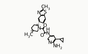 Cc1nc2cc([C@H]3CC[C@H](C)CN3C(=O)C(=O)Nc3cnc(N)c(C4CC4)c3)ccc2s1